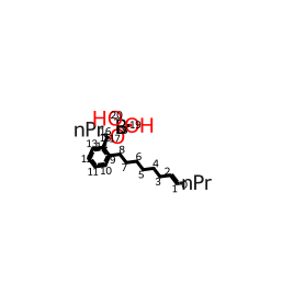 CCCC=CCCCCCCc1ccccc1C(CCC)OB(O)O